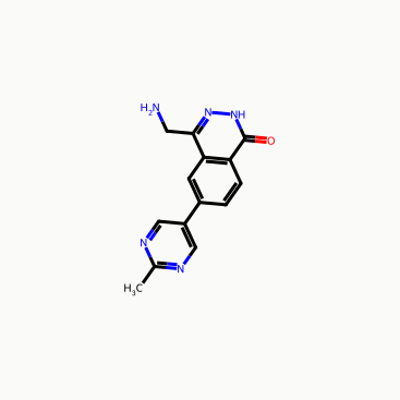 Cc1ncc(-c2ccc3c(=O)[nH]nc(CN)c3c2)cn1